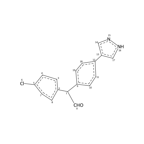 O=CC(c1ccc(Cl)cc1)c1ccc(-c2cn[nH]c2)cc1